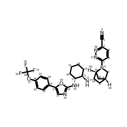 N#Cc1ccc(N2C[C@@H]3C[C@H](N[C@@H]4CCCC[C@H]4Nc4ncc(-c5ccc(OC(F)(F)F)cc5)o4)[C@H]2C3)nn1